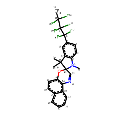 CN1c2ccc(C(F)(F)C(F)(F)C(F)(F)C(F)(F)F)cc2C(C)(C)C12C=Nc1c(ccc3ccccc13)O2